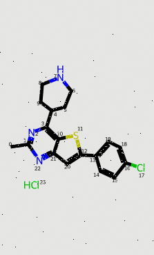 Cc1nc(C2CCNCC2)c2sc(-c3ccc(Cl)cc3)cc2n1.Cl